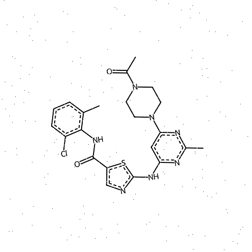 CC(=O)N1CCN(c2cc(Nc3ncc(C(=O)Nc4c(C)cccc4Cl)s3)nc(C)n2)CC1